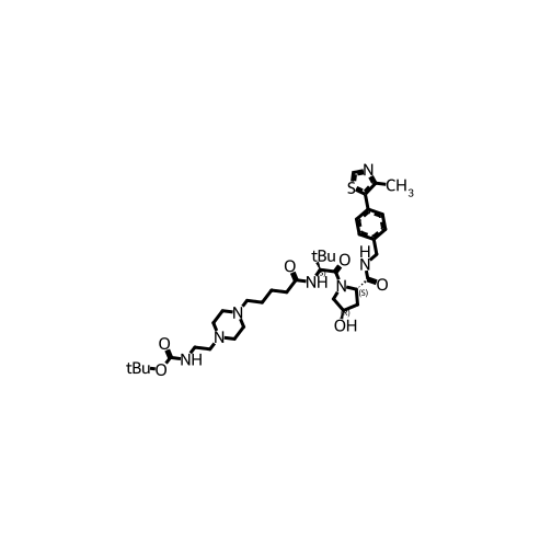 Cc1ncsc1-c1ccc(CNC(=O)[C@@H]2C[C@@H](O)CN2C(=O)[C@@H](NC(=O)CCCCN2CCN(CCNC(=O)OC(C)(C)C)CC2)C(C)(C)C)cc1